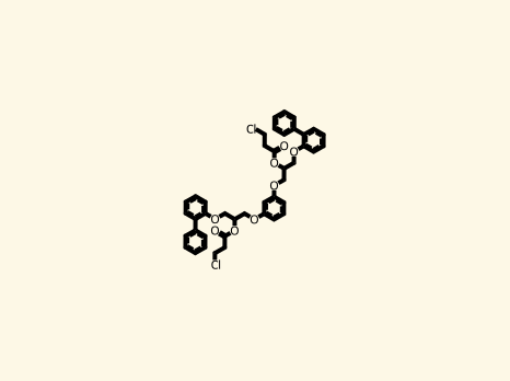 O=C(CCCl)OC(COc1cccc(OCC(COc2ccccc2-c2ccccc2)OC(=O)CCCl)c1)COc1ccccc1-c1ccccc1